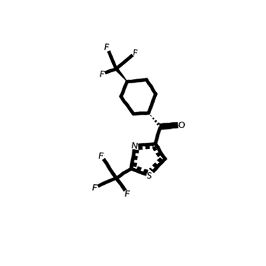 O=C(c1csc(C(F)(F)F)n1)[C@H]1CC[C@H](C(F)(F)F)CC1